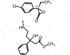 CC[C@@]1(c2ccc(Cl)cc2)OC1=O.COC(=O)CC(O)(CCNF)c1ccccc1